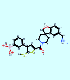 CSC1SC(C(=O)N2CCC3(CC2)COc2ccc(CN)cc23)=CC1c1cccc(B(O)O)c1